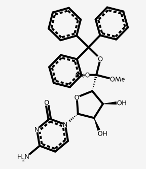 COC(OC)(OC(c1ccccc1)(c1ccccc1)c1ccccc1)[C@H]1O[C@@H](n2ccc(N)nc2=O)[C@H](O)[C@@H]1O